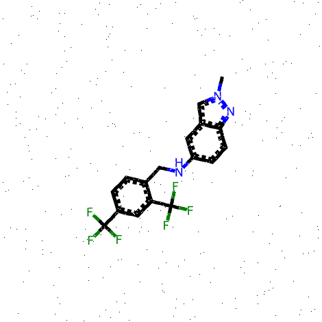 Cn1cc2cc(NCc3ccc(C(F)(F)F)cc3C(F)(F)F)ccc2n1